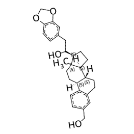 C[C@]12CC[C@@H]3c4ccc(CO)cc4CC[C@H]3[C@@H]1CC[C@@H]2C(O)Cc1ccc2c(c1)OCO2